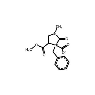 COC(=O)C1CN(C)C(=O)[N+]1(Cc1ccccc1)C(=O)[O-]